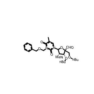 CCCCOC[C@@]1(C=O)OC(n2cc(C)c(=O)n(COCc3ccccc3)c2=O)[C@@H](NC)[C@H]1OCCCC